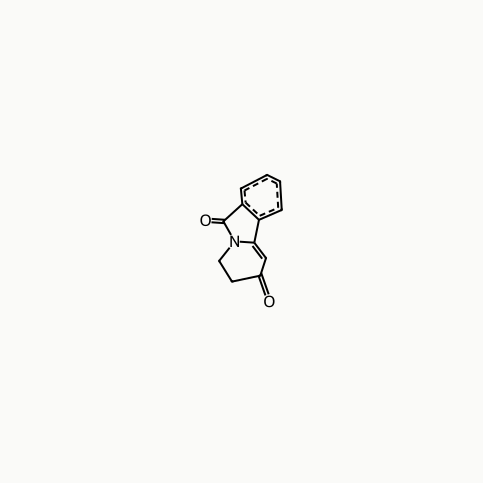 O=C1C=C2c3ccccc3C(=O)N2CC1